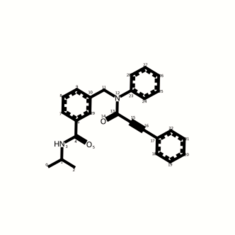 CC(C)NC(=O)c1cccc(CN(C(=O)C#Cc2ccccc2)c2ccccc2)c1